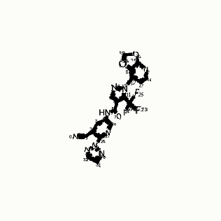 N#Cc1cc(NC(=O)c2cnn(-c3ccnc4c3OCO4)c2C(F)(F)F)cnc1-n1nccn1